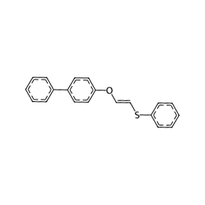 C(=C\Sc1ccccc1)/Oc1ccc(-c2ccccc2)cc1